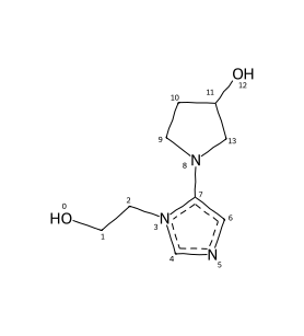 OCCn1cncc1N1CCC(O)C1